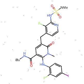 CCC(C)NC(=O)c1cc(Cc2ccnc(NS(=O)(=O)NC)c2F)c(=O)n(C)c1Nc1ccc(I)cc1F